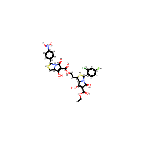 CCOC(=O)C1=C(O)C2C(CCOC(=O)C3=C(O)C4CS[C@@H](c5ccc([N+](=O)[O-])cc5)N4C3=O)S[C@@H](c3ccc(F)cc3Cl)N2C1=O